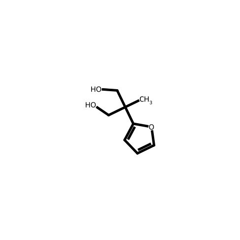 CC(CO)(CO)c1ccco1